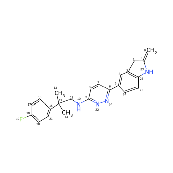 C=C1Cc2cc(-c3ccc(NCC(C)(C)c4ccc(F)cc4)nn3)ccc2N1